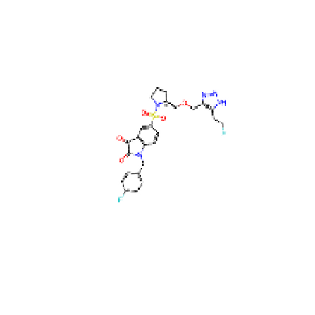 O=C1C(=O)N(Cc2ccc(F)cc2)c2ccc(S(=O)(=O)N3CCC[C@H]3COCc3nn[nH]c3CCF)cc21